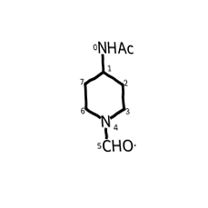 CC(=O)NC1CCN([C]=O)CC1